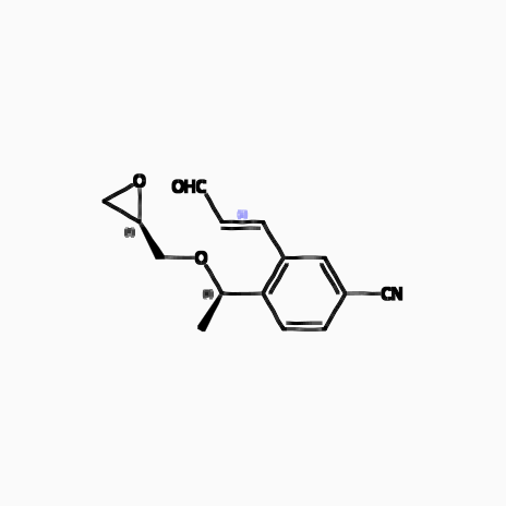 C[C@@H](OC[C@H]1CO1)c1ccc(C#N)cc1/C=C/C=O